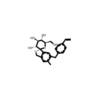 C=Cc1ccc(Cc2cc3c(cc2C)CO[C@]32S[C@H](CO)[C@@H](O)[C@H](O)[C@H]2O)cc1